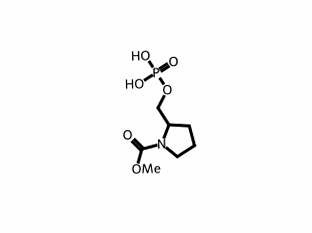 COC(=O)N1CCCC1COP(=O)(O)O